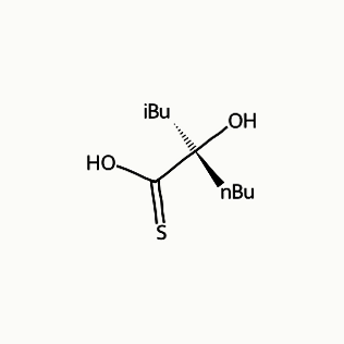 CCCC[C@@](O)(C(O)=S)[C@@H](C)CC